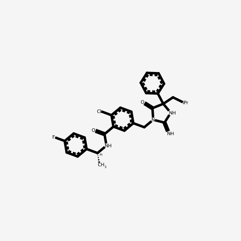 CC(C)CC1(c2ccccc2)NC(=N)N(Cc2ccc(Cl)c(C(=O)N[C@H](C)c3ccc(F)cc3)c2)C1=O